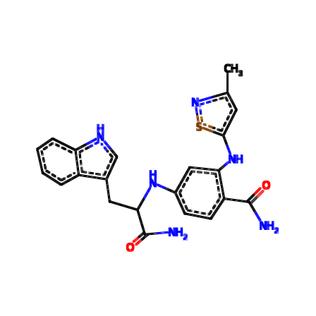 Cc1cc(Nc2cc(NC(Cc3c[nH]c4ccccc34)C(N)=O)ccc2C(N)=O)sn1